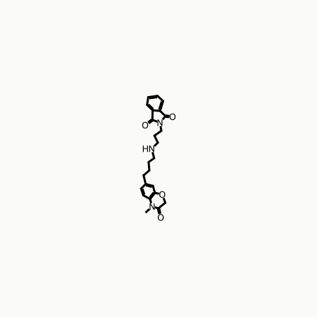 CN1C(=O)COc2cc(CCCCNCCCN3C(=O)c4ccccc4C3=O)ccc21